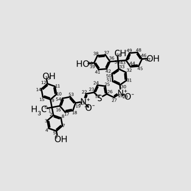 CC(c1ccc(O)cc1)(c1ccc(O)cc1)c1ccc(/[N+]([O-])=C/c2ccc(/C=[N+](/[O-])c3ccc(C(C)(c4ccc(O)cc4)c4ccc(O)cc4)cc3)s2)cc1